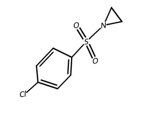 O=S(=O)(c1ccc(Cl)cc1)N1CC1